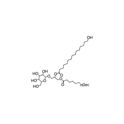 CCCCCCCCCCCCCCCC(=O)OCC(COC1OC(CO)C(O)C(O)C1O)OC(=O)CCCCCCCCCCCCCCO